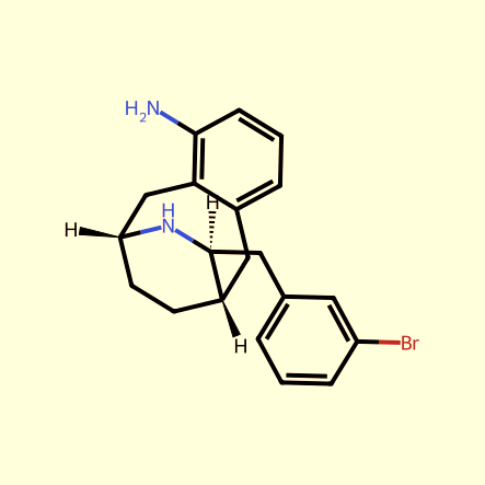 Nc1cccc2c1C[C@H]1CC[C@@H](C2)[C@H](Cc2cccc(Br)c2)N1